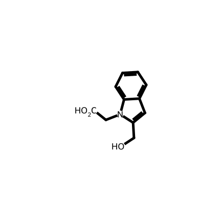 O=C(O)Cn1c(CO)cc2ccccc21